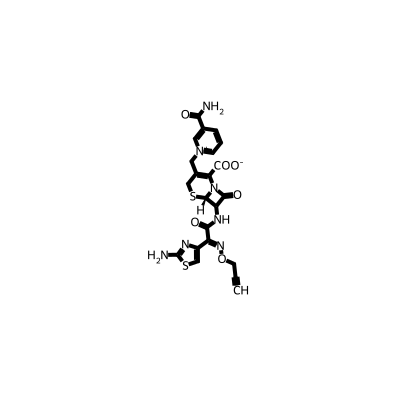 C#CCON=C(C(=O)NC1C(=O)N2C(C(=O)[O-])=C(C[n+]3cccc(C(N)=O)c3)CS[C@@H]12)c1csc(N)n1